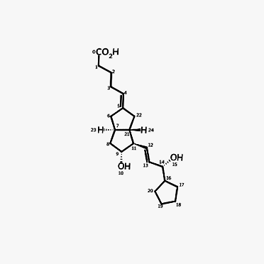 O=C(O)CCC/C=C1\C[C@@H]2C[C@@H](O)[C@H](/C=C/[C@H](O)C3CCCC3)[C@H]2C1